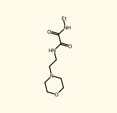 CCNC(=O)C(=O)NCCN1CCOCC1